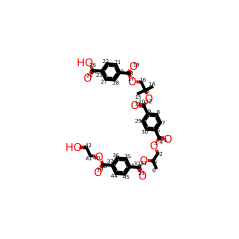 CC(COC(=O)c1ccc(C(=O)OC(C)(C)COC(=O)c2ccc(C(=O)O)cc2)cc1)OC(=O)c1ccc(C(=O)OCCO)cc1